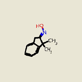 CC1(C)/C(=N/O)Cc2ccccc21